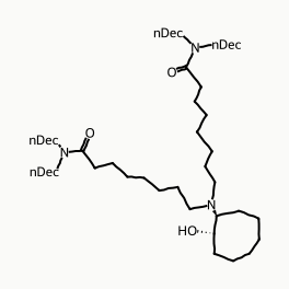 CCCCCCCCCCN(CCCCCCCCCC)C(=O)CCCCCCCN(CCCCCCCC(=O)N(CCCCCCCCCC)CCCCCCCCCC)[C@H]1CCCCCC[C@@H]1O